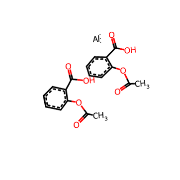 CC(=O)Oc1ccccc1C(=O)O.CC(=O)Oc1ccccc1C(=O)O.[Al]